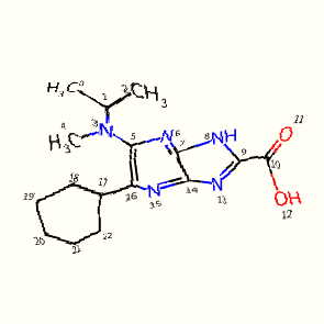 CC(C)N(C)c1nc2[nH]c(C(=O)O)nc2nc1C1CCCCC1